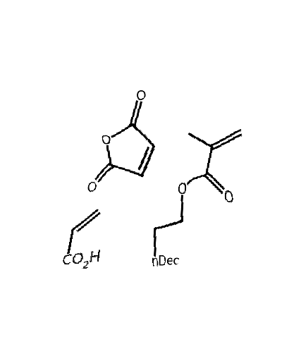 C=C(C)C(=O)OCCCCCCCCCCCC.C=CC(=O)O.O=C1C=CC(=O)O1